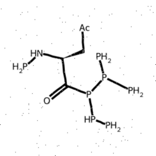 CC(=O)C[C@H](NP)C(=O)P(PP)P(P)P